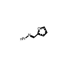 CCC/N=C/c1ccco1